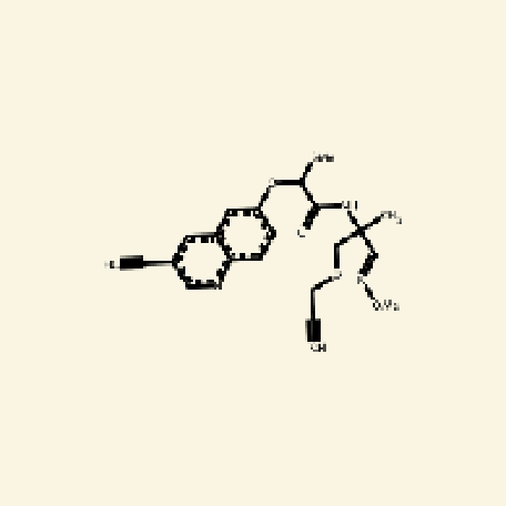 C#CCOCC(C)(C=NOC)NC(=O)C(Oc1ccc2ncc(C#C)cc2c1)SC